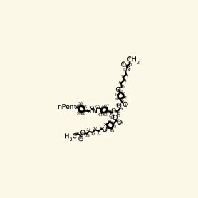 C=CC(=O)OCCCCCCOc1ccc(C(=O)OCC(COC(=O)c2ccc(OCCCCCCOC(=O)C=C)cc2)OC(=O)c2ccc(/C=N/N=C/c3ccc(CCCCC)cc3)cc2)cc1